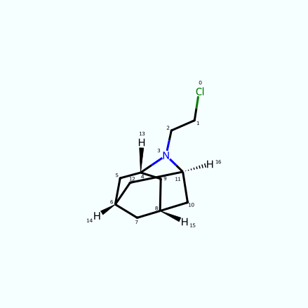 ClCCN1[C@H]2C[C@H]3C[C@H](C2)C[C@H]1C3